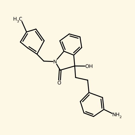 Cc1ccc(CN2C(=O)C(O)(CCc3cccc(N)c3)c3ccccc32)cc1